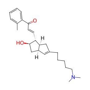 Cc1ccccc1C(=O)/C=C/[C@@H]1[C@H]2CC(CCCCCN(C)C)=C[C@H]2C[C@H]1O